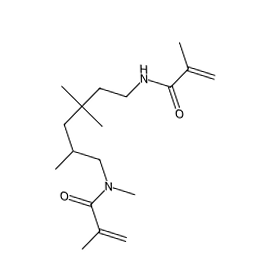 C=C(C)C(=O)NCCC(C)(C)CC(C)CN(C)C(=O)C(=C)C